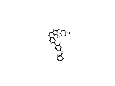 CC1=Nc2cnc3cc(F)c(-c4ccc(Oc5ncccn5)cc4F)cc3c2[N+]1([O-])C1CCNCC1